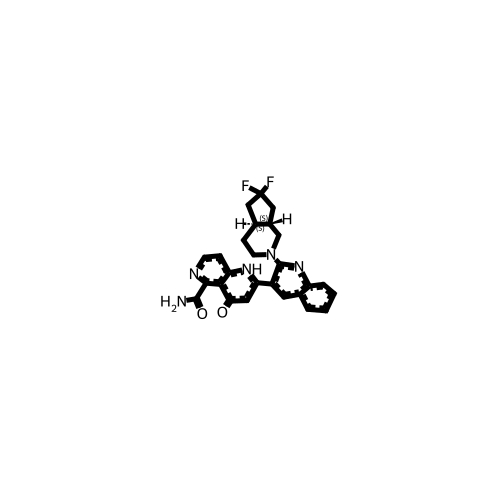 NC(=O)c1nccc2[nH]c(-c3cc4ccccc4nc3N3CC[C@H]4CC(F)(F)C[C@@H]4C3)cc(=O)c12